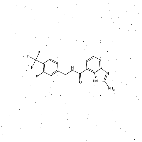 Nc1nc2cccc(C(=O)NCc3ccc(C(F)(F)F)c(F)c3)c2[nH]1